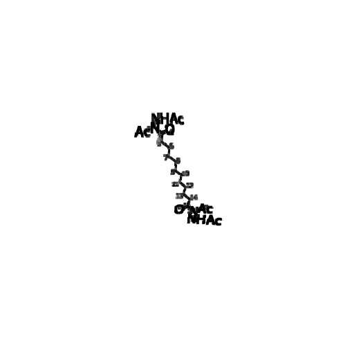 CC(=O)NN(C(C)=O)C(=O)CCCCCCCCCCC(=O)N(NC(C)=O)C(C)=O